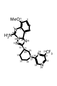 COc1cccc2c1nc(N)n1nc([C@@H]3CCCN(c4cncc(C(F)(F)F)n4)C3)nc21